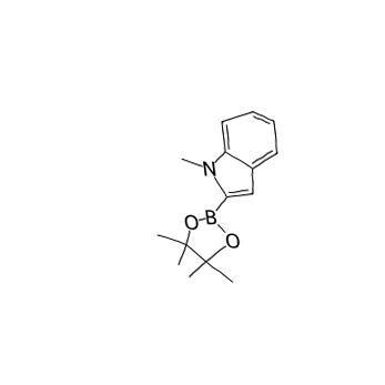 Cn1c(B2OC(C)(C)C(C)(C)O2)cc2ccccc21